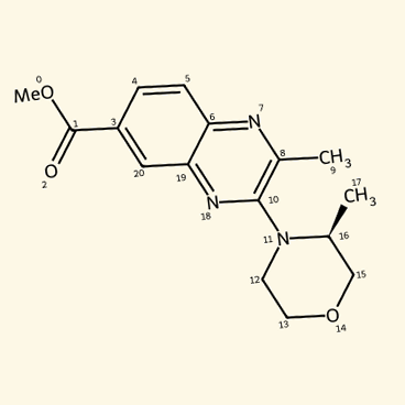 COC(=O)c1ccc2nc(C)c(N3CCOC[C@@H]3C)nc2c1